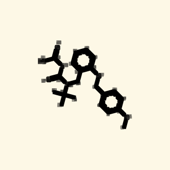 COc1ccc(COc2ccccc2CN(C(=O)SC(=O)S)C(C)(C)C)cc1